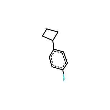 Fc1ccc(C2C[CH]C2)cc1